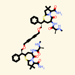 CN[C@@H](C)C(=O)NC1CC([C@H](COCC#CC#CCOC[C@H](c2ccccc2)C2CC(NC(=O)[C@H](C)NC)C(=O)N3C(CC(C)(C)C3C(N)=O)S2)c2ccccc2)SC2CC(C)(C)C(C(N)=O)N2C1=O